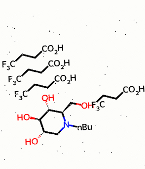 CCCCN1C[C@H](O)[C@@H](O)[C@H](O)[C@H]1CO.O=C(O)CCC(F)(F)F.O=C(O)CCC(F)(F)F.O=C(O)CCC(F)(F)F.O=C(O)CCC(F)(F)F